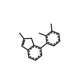 CC1=Cc2cccc(-c3cccc(C)c3C)c2C1